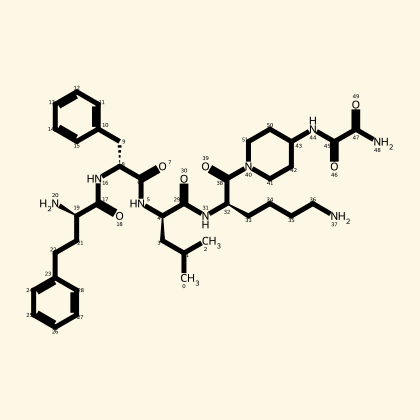 CC(C)C[C@@H](NC(=O)[C@@H](Cc1ccccc1)NC(=O)[C@H](N)CCc1ccccc1)C(=O)N[C@H](CCCCN)C(=O)N1CCC(NC(=O)C(N)=O)CC1